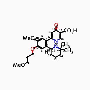 COCCCOc1cc2c(cc1OC)-c1cc(=O)c(C(=O)O)cn1N1[C@H]2CCCC1(C)C